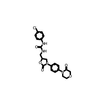 O=C(NCC1CN(c2ccc(N3CCOCC3=O)cc2)C(=O)O1)Nc1ccc(Cl)cc1